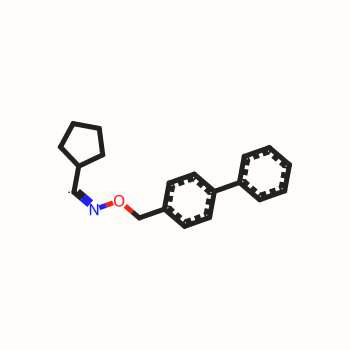 [C](=N/OCc1ccc(-c2ccccc2)cc1)/C1CCCC1